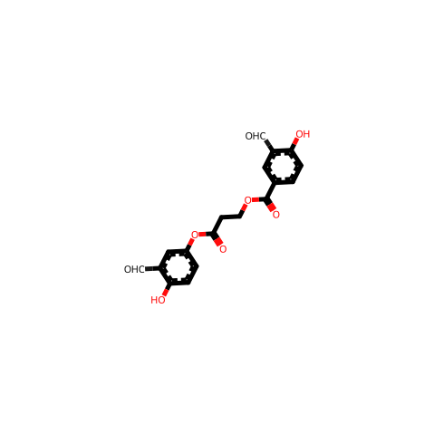 O=Cc1cc(OC(=O)CCOC(=O)c2ccc(O)c(C=O)c2)ccc1O